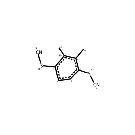 Cc1c(SC#N)ccc(SC#N)c1C